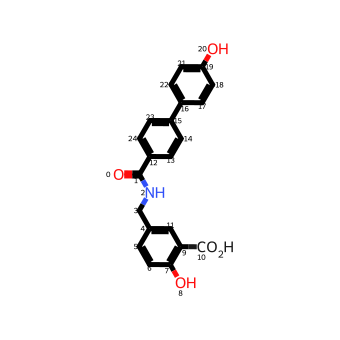 O=C(NCc1ccc(O)c(C(=O)O)c1)c1ccc(-c2ccc(O)cc2)cc1